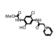 COC(=O)Nc1cc(Cl)c(NC(=O)C[n+]2ccccc2)cc1O